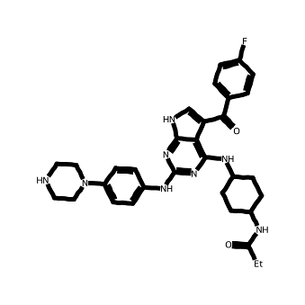 CCC(=O)NC1CCC(Nc2nc(Nc3ccc(N4CCNCC4)cc3)nc3[nH]cc(C(=O)c4ccc(F)cc4)c23)CC1